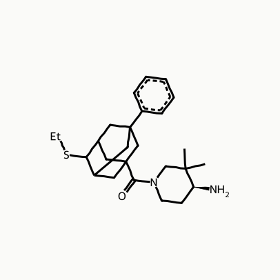 CCSC1C2CC3(C(=O)N4CC[C@H](N)C(C)(C)C4)CC1CC(c1ccccc1)(C2)C3